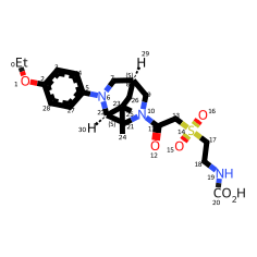 CCOc1ccc(N2C[C@H]3CN(C(=O)CS(=O)(=O)CCNC(=O)O)C[C@@H]2C(C)(C)C3)cc1